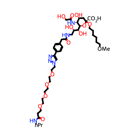 CCCNC(=O)CCOCCOCCOCCOCCn1cc(-c2ccc(CC(=O)NC[C@@H](O)[C@@H](O)[C@@H]3O[C@@](OCCCCCCOC)(C(=O)O)C[C@H](O)[C@H]3NC(=O)CO)cc2)nn1